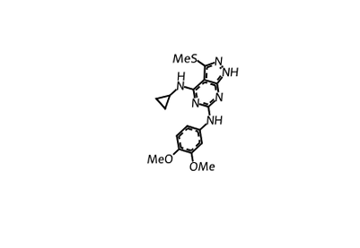 COc1ccc(Nc2nc(NC3CC3)c3c(SC)n[nH]c3n2)cc1OC